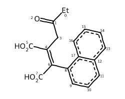 CCC(=O)CC(C(=O)O)=C(C(=O)O)c1cccc2ccccc12